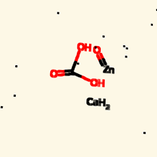 O=C(O)O.[CaH2].[O]=[Zn]